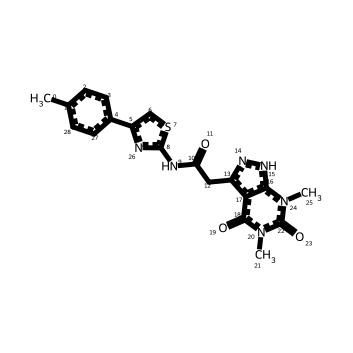 Cc1ccc(-c2csc(NC(=O)Cc3n[nH]c4c3c(=O)n(C)c(=O)n4C)n2)cc1